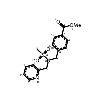 COC(=O)c1ccc(CN(Cc2ccccn2)S(C)(=O)=O)cc1